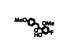 COc1ccc(CC(=O)c2c(O)cc(F)cc2OC)cc1